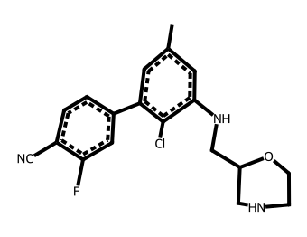 Cc1cc(NCC2CNCCO2)c(Cl)c(-c2ccc(C#N)c(F)c2)c1